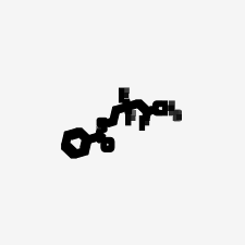 CC(F)CC(F)(F)CCSC(=O)c1ccccc1